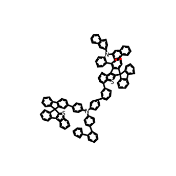 c1ccc(-c2ccccc2-c2ccc(N(c3ccc(-c4cccc(-c5cccc6c7c(sc56)C5(c6ccccc6-c6ccccc65)c5cccc(-c6ccccc6N(c6ccc8ccccc8c6)c6ccc8ccccc8c6)c5-7)c4)cc3)c3ccc(-c4ccc5c(c4)C4(c6ccccc6-5)c5ccccc5-c5c4sc4ccccc54)cc3)cc2)cc1